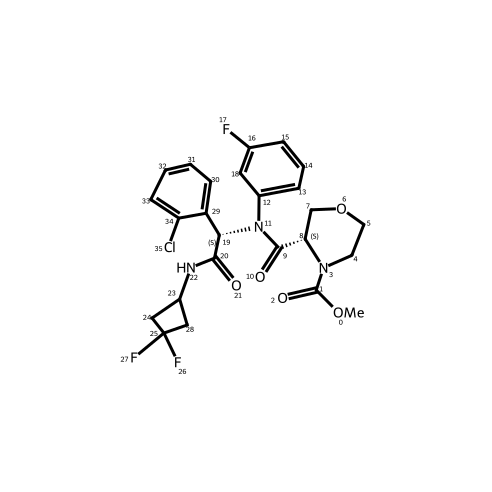 COC(=O)N1CCOC[C@H]1C(=O)N(c1cccc(F)c1)[C@H](C(=O)NC1CC(F)(F)C1)c1ccccc1Cl